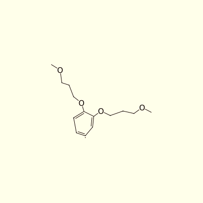 COCCCOc1c[c]ccc1OCCCOC